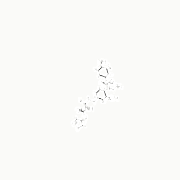 CC(C)CN(c1ccc(CC[C@H](C)NC(=O)OC2CCOC2)cc1O)S(=O)(=O)c1ccc(N)cc1